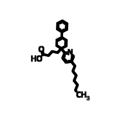 CCCCCCCc1ccc(C2(CCCC(=O)O)C=CC(c3ccccc3)=CC2)nc1